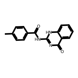 Cc1ccc(C(=O)Nc2nc(=O)c3ccccc3[nH]2)cc1